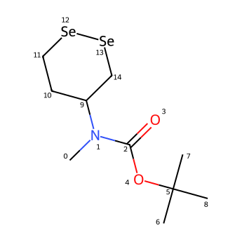 CN(C(=O)OC(C)(C)C)C1CC[Se][Se]C1